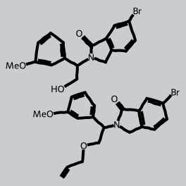 C=CCOCC(c1cccc(OC)c1)N1Cc2ccc(Br)cc2C1=O.COc1cccc(C(CO)N2Cc3ccc(Br)cc3C2=O)c1